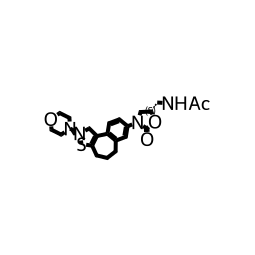 CC(=O)NC[C@H]1CN(c2ccc3c(c2)CCCC2=C3CN(N3CCOCC3)S2)C(=O)O1